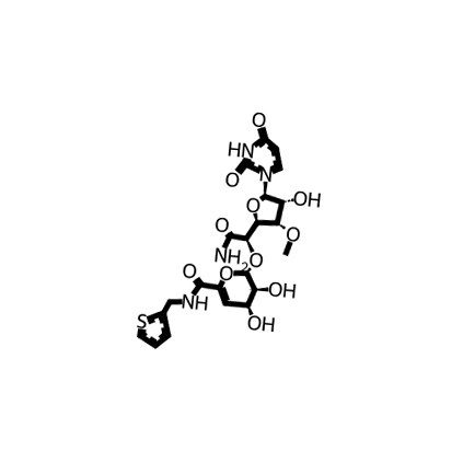 CO[C@H]1[C@@H](O)[C@H](n2ccc(=O)[nH]c2=O)O[C@@H]1[C@@H](O[C@H]1OC(C(=O)NCc2cccs2)=C[C@H](O)[C@@H]1O)C(N)=O